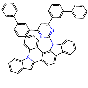 c1ccc(-c2cccc(-c3cc(-c4cccc(-c5ccccc5)c4)nc(-n4c5ccccc5c5ccc6c(c7ccccc7n7c8ccccc8cc67)c54)n3)c2)cc1